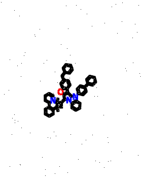 CC12C=C(C3c4oc5cc(CC6C=CC=CC6)ccc5c4C4N(c5ccc(C6=CCCC=C6)cc5)C5=C(C=CCC5)N34)C1(C)N1C=CCCC1C1=C2CCC=C1